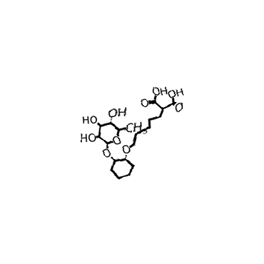 CC1O[C@@H](OC2CCCC[C@H]2OCCCCCC(C(=O)O)C(=O)O)C(O)C(O)[C@@H]1O